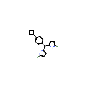 Clc1ccc(C(c2ccc(C3CCC3)cc2)c2ccc(Cl)[nH]2)[nH]1